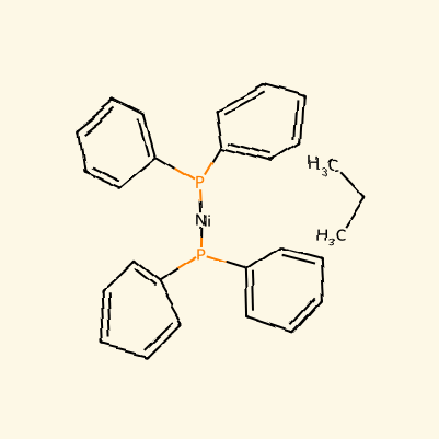 CCC.c1ccc([P]([Ni][P](c2ccccc2)c2ccccc2)c2ccccc2)cc1